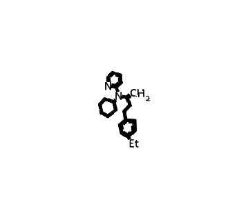 C=C(CCc1ccc(CC)cc1)N(c1ccccn1)C1CCCCC1